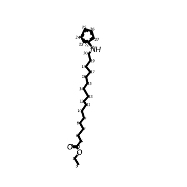 CCOC(=O)CCCCCCCCCCCCCCCCNc1ccccc1